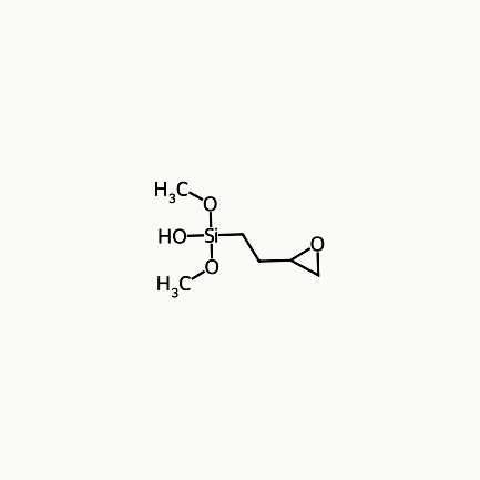 CO[Si](O)(CCC1CO1)OC